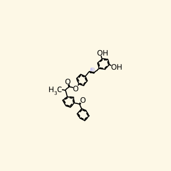 CC(C(=O)Oc1ccc(/C=C/c2cc(O)cc(O)c2)cc1)c1cccc(C(=O)c2ccccc2)c1